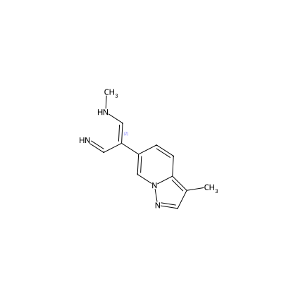 CN/C=C(\C=N)c1ccc2c(C)cnn2c1